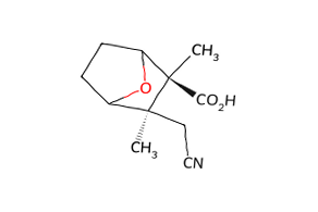 C[C@]1(CC#N)C2CCC(O2)[C@@]1(C)C(=O)O